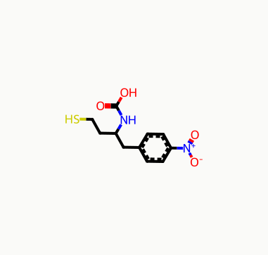 O=C(O)NC(CCS)Cc1ccc([N+](=O)[O-])cc1